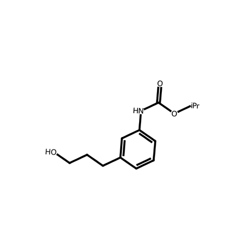 CC(C)OC(=O)Nc1cccc(CCCO)c1